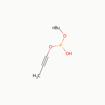 CC#COP(O)OCCCC